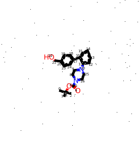 CC(C)(C)OC(=O)N1CCN(c2ccccc2-c2ccc(CO)cc2)CC1